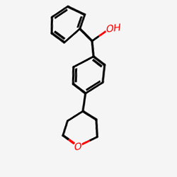 OC(c1ccccc1)c1ccc(C2CCOCC2)cc1